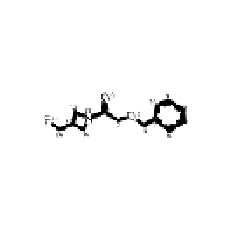 O=C(COCc1ccccc1)N1CC(CF)C1